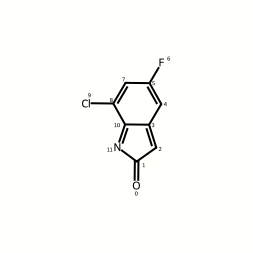 O=C1C=c2cc(F)cc(Cl)c2=N1